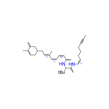 C=C(\C=C/C=C\C(C)=C\CC1CC=C(C)C(=C)C1)NC(C(=C)N/C=C\CCCC#CC)C(C)(C)C